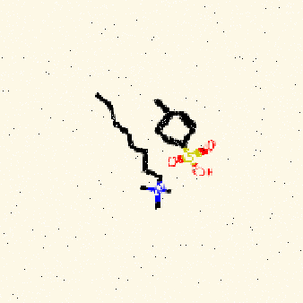 CCCCCCCC[N+](C)(C)C.Cc1ccc(S(=O)(=O)O)cc1